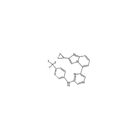 FC(F)(F)c1ccc(Nc2cncc(-c3cccc4nc(C5CC5)cn34)n2)cc1